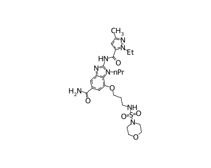 CCCn1c(NC(=O)c2cc(C)nn2CC)nc2cc(C(N)=O)cc(OCCCNS(=O)(=O)N3CCOCC3)c21